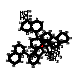 CC1=Cc2c(-c3cccc4ccccc34)ccc(C)c2[CH]1[Zr]([CH3])([CH3])(=[SiH2])[CH]1C(c2cccc3c2ccc2ccccc23)=Cc2c(-c3cccc4ccccc34)cccc21.Cl.Cl